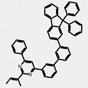 C/C=C(\C)c1nc(-c2ccccc2)cc(-c2cccc(-c3cccc(-c4ccc5c(c4)C(c4ccccc4)(c4ccccc4)c4ccccc4-5)c3)c2)n1